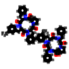 O=C1N[C@H](Cc2cccc(C(F)(F)F)c2)C(=O)N[C@@H](Cc2ccccc2-c2ccc(C[C@H]3NC(=O)[C@H](Cc4ccccc4)NC(O)[C@H]4CCCN4C(=O)[C@H](Cc4ccccc4)NC3=O)c(C(F)(F)F)c2)C(=O)N2CCC[C@@H]2C(=O)N[C@H]1Cc1ccccc1